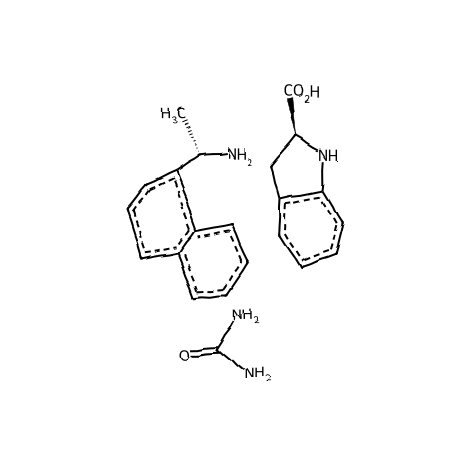 C[C@H](N)c1cccc2ccccc12.NC(N)=O.O=C(O)[C@@H]1Cc2ccccc2N1